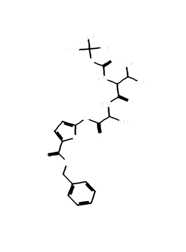 CC(NC(=O)C(NC(=O)OC(C)(C)C)C(C)C)C(=O)Nc1ccc(C(=O)OCc2ccccc2)s1